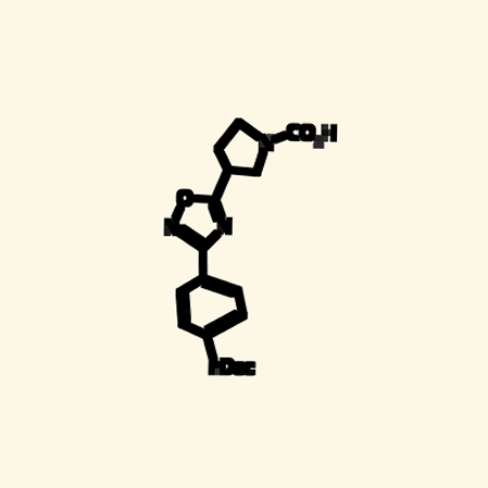 CCCCCCCCCCc1ccc(-c2noc(C3CCN(C(=O)O)C3)n2)cc1